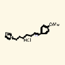 COc1ccc(/C=C/CCCCCn2ccnc2)cc1.Cl